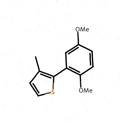 COc1ccc(OC)c(-c2sccc2C)c1